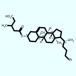 CC(C)CCC[C@@H](C)C1CC[C@H]2[C@@H]3CC=C4C[C@@H](OC(=O)CC(C)CC(=O)O)CC[C@]4(C)[C@H]3CC[C@]12C